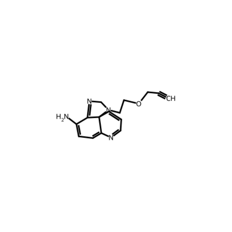 C#CCOCCN1CN=C2C(N)=CC=C3N=CC=CC321